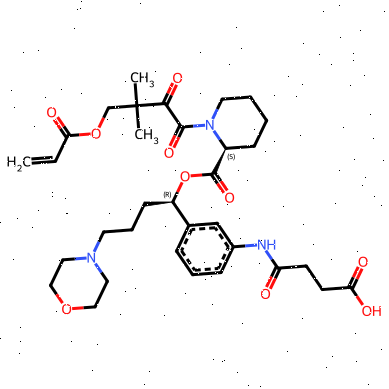 C=CC(=O)OCC(C)(C)C(=O)C(=O)N1CCCC[C@H]1C(=O)O[C@H](CCCN1CCOCC1)c1cccc(NC(=O)CCC(=O)O)c1